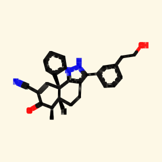 C[C@H]1C(=O)C(C#N)=C[C@]2(c3ccccc3)c3n[nH]c(-c4cccc(CCO)c4)c3CC[C@H]12